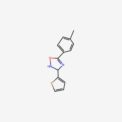 Cc1ccc(C2=NC(c3cccs3)NO2)cc1